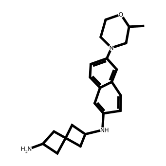 CC1CN(c2ccc3cc(NC4CC5(CC(N)C5)C4)ccc3c2)CCO1